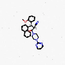 COc1ccccc1[C@H](c1cccc2ccccc12)[C@@](C)(C#N)C(=O)N1CCN(c2ncccn2)CC1